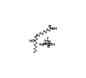 CCCCCCC(O)C/C=C\CCCCCCCC(=O)O.CCC[CH2][Na].O=S(=O)(O)O